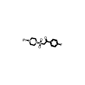 CC(C)N1CCN(S(=O)(=O)CC(=O)c2ccc(F)cc2)CC1